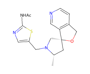 CC(=O)Nc1ncc(CN2C[C@@]3(C[C@@H]2C)OCc2ccncc23)s1